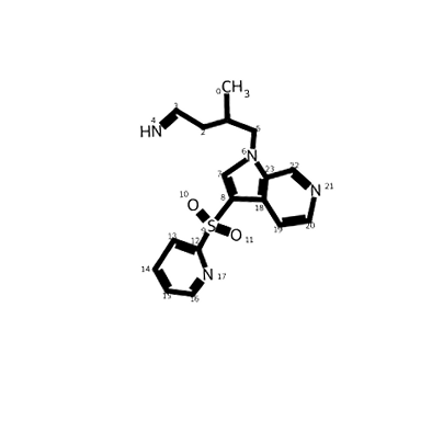 CC(CC=N)Cn1cc(S(=O)(=O)c2ccccn2)c2ccncc21